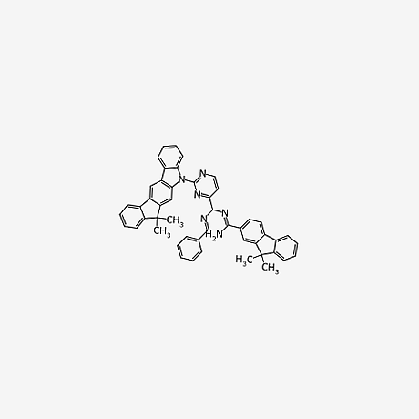 CC1(C)c2ccccc2-c2ccc(/C(N)=N/C(/N=C/c3ccccc3)c3ccnc(-n4c5ccccc5c5cc6c(cc54)C(C)(C)c4ccccc4-6)n3)cc21